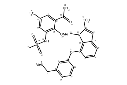 CNCc1cc(Oc2cccc3cc(C(=O)O)n(C)c23)ccn1.COc1c(NS(C)(=O)=O)cc(C(F)(F)F)cc1C(N)=O